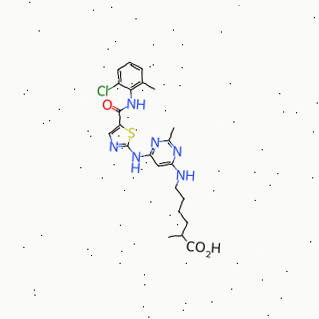 Cc1nc(NCCCCC(C)C(=O)O)cc(Nc2ncc(C(=O)Nc3c(C)cccc3Cl)s2)n1